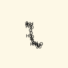 CC(=O)c1c(C)c2cnc(Nc3ccc(N4CCN(CC(=O)NCCOCCOCCC(=O)Nc5ccccc5CNc5nc(C)c(C)s5)CC4)cn3)nc2n(C2CCCC2)c1=O